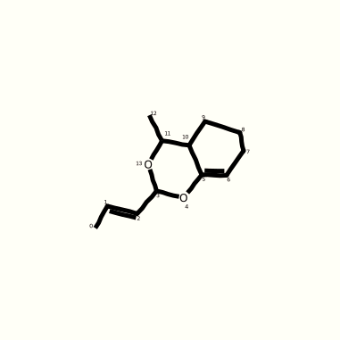 CC=CC1OC2=CCCCC2C(C)O1